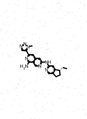 CC[C@@H]1CCc2cnc(Nc3cc4cc(-c5cnnn5C)nc(N)c4cn3)cc21